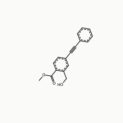 COC(=O)c1ccc(C#Cc2ccccc2)cc1CO